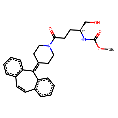 CC(C)(C)OC(=O)N[C@H](CO)CCC(=O)N1CCC(=C2c3ccccc3C=Cc3ccccc32)CC1